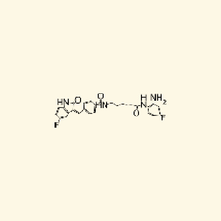 Nc1cc(F)ccc1NC(=O)CCCCCNC(=O)c1ccc(/C=C2\C(=O)Nc3ccc(F)cc32)cc1